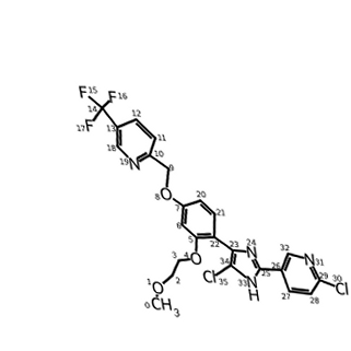 COCCOc1cc(OCc2ccc(C(F)(F)F)cn2)ccc1-c1nc(-c2ccc(Cl)nc2)[nH]c1Cl